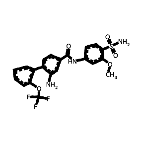 COc1cc(NC(=O)c2ccc(-c3ccccc3OC(F)(F)F)c(N)c2)ccc1S(N)(=O)=O